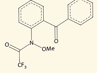 CON(C(=O)C(F)(F)F)c1ccccc1C(=O)c1ccccc1